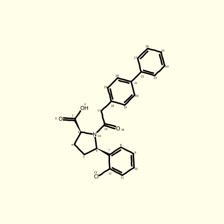 O=C(O)[C@@H]1CC[C@H](c2ccccc2Cl)N1C(=O)Cc1ccc(-c2ccccc2)cc1